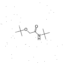 CC(C)(C)NC(=O)COC(C)(C)C